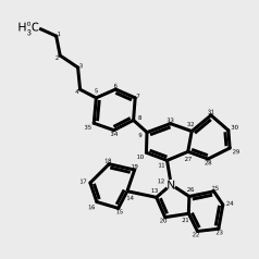 CCCCCc1ccc(-c2cc(-n3c(-c4ccccc4)cc4ccccc43)c3ccccc3c2)cc1